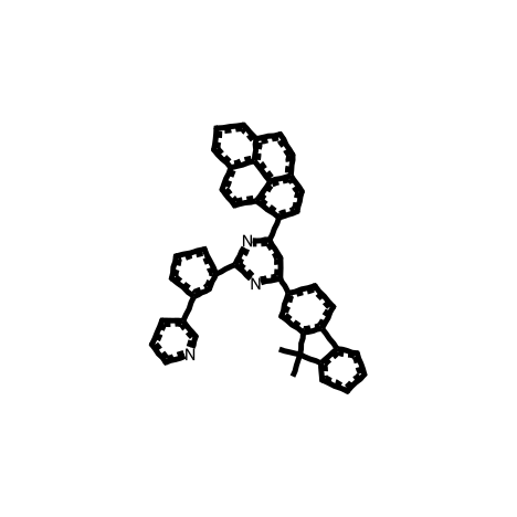 CC1(C)c2ccccc2-c2ccc(-c3cc(-c4ccc5ccc6cccc7ccc4c5c67)nc(-c4cccc(-c5cccnc5)c4)n3)cc21